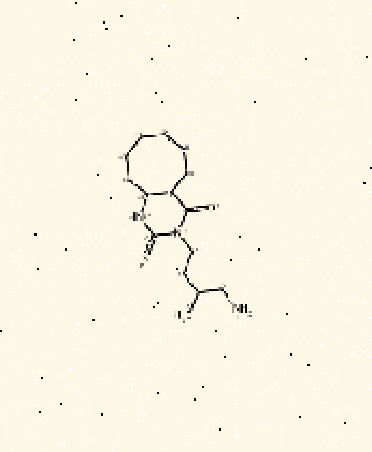 CC(CN)CCN1C(=O)C2CCCCCCC2NC1=S